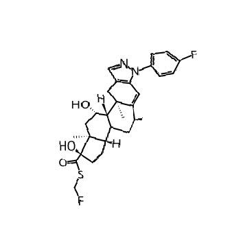 C[C@H]1CC2[C@H]([C@@H](O)C[C@@]3(C)[C@H]2CC[C@]3(O)C(=O)SCF)[C@@]2(C)Cc3cnn(-c4ccc(F)cc4)c3C=C12